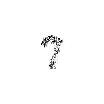 CC(C)(C)OC(=O)N1CCC(COCCN2CCC(n3cc(NC(=O)c4cnn5ccc(N6C[C@H]7C[C@@H]6CO7)nc45)c(C(F)F)n3)CC2)CC1